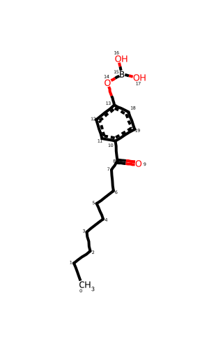 CCCCCCCCC(=O)c1ccc(OB(O)O)cc1